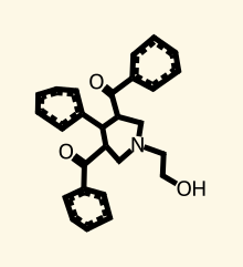 O=C(c1ccccc1)C1CN(CCO)CC(C(=O)c2ccccc2)C1c1ccccc1